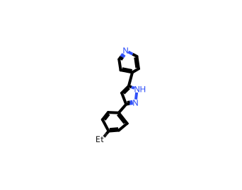 CCc1ccc(-c2cc(-c3ccncc3)[nH]n2)cc1